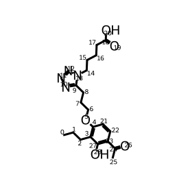 CCCc1c(OCCCc2nnnn2CCCCC(=O)O)ccc(C(C)=O)c1O